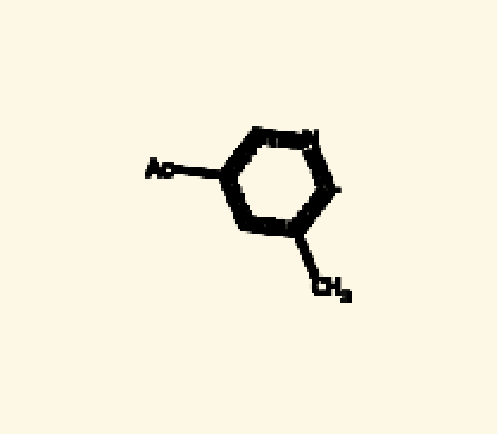 CC(=O)c1cn[c]c(C)c1